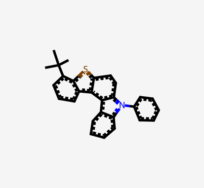 CC(C)(C)c1cccc2c1sc1ccc3c(c4ccccc4n3-c3ccccc3)c12